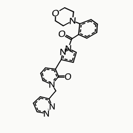 O=C(c1ccccc1N1CCOCC1)n1ccc(-c2cccn(Cc3cccnn3)c2=O)n1